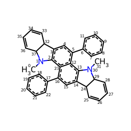 CN1c2c(cc(-c3ccccc3)c3c4c(cc(-c5ccccc5)c23)C2C=CC=CC2N4C)C2C=CC=CC21